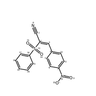 N#C/C(=C/c1ccc([N+](=O)[O-])cc1)S(=O)(=O)c1ccccc1